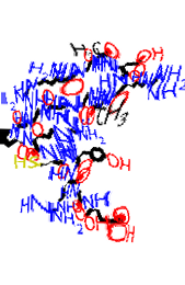 C[C@H](NC(=O)CNC(=O)[C@@H](N)CCCNC(=N)N)C(=O)N[C@@H](CC(=O)O)C(=O)N[C@@H](CCCNC(=N)N)C(=O)N[C@@H](C)C(=O)NCC(=O)NCC(=O)NCC(=O)NCC(=O)N1CCC[C@H]1C(=O)N[C@@H](CCCNC(=N)N)C(=O)N[C@@H](CS)C(=O)N[C@@H](Cc1ccc(O)cc1)C(=O)N[C@@H](CCCNC(=N)N)C(=O)NCC(=O)N[C@@H](CCC(=O)O)C(=O)O